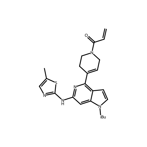 C=CC(=O)N1CC=C(c2nc(Nc3ncc(C)s3)cc3c2ccn3C(C)CC)CC1